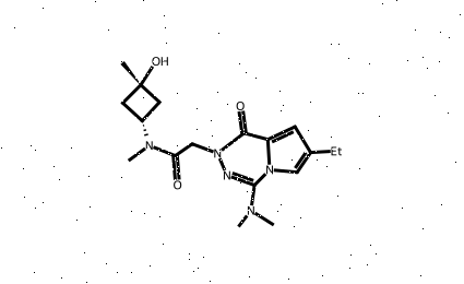 CCc1cc2c(=O)n(CC(=O)N(C)[C@H]3C[C@@](C)(O)C3)nc(N(C)C)n2c1